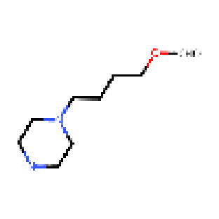 O=COCCCCN1CCNCC1